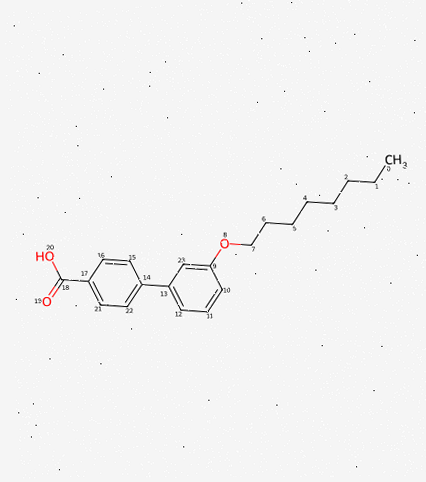 CCCCCCCCOc1cccc(-c2ccc(C(=O)O)cc2)c1